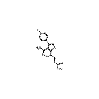 CNC(=O)C=Cc1cnc(N)c2c(-c3ccc(F)cc3)csc12